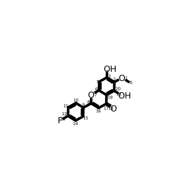 COc1c(O)cc2oc(-c3ccc(F)cc3)cc(=O)c2c1O